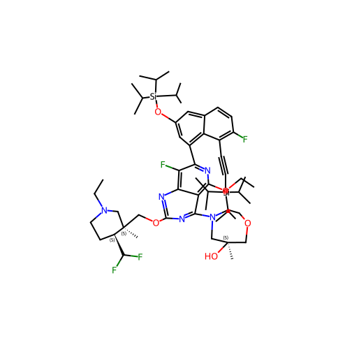 CCOc1nc(-c2cc(O[Si](C(C)C)(C(C)C)C(C)C)cc3ccc(F)c(C#C[Si](C(C)C)(C(C)C)C(C)C)c23)c(F)c2nc(OC[C@]3(C)CN(CC)CC[C@@H]3C(F)F)nc(N3CCOC[C@@](C)(O)C3)c12